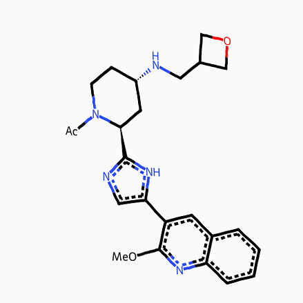 COc1nc2ccccc2cc1-c1cnc([C@@H]2C[C@@H](NCC3COC3)CCN2C(C)=O)[nH]1